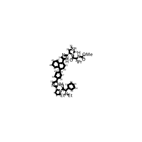 CCN(CC)[C@@H](C(=O)N1CCC[C@H]1c1ncc(-c2ccc(-c3ccc(-c4cnc([C@@H]5C[Si](C)(C)CN5C(=O)[C@@H](NC(=O)OC)C(C)C)[nH]4)c4ccccc34)cc2)[nH]1)c1ccccc1